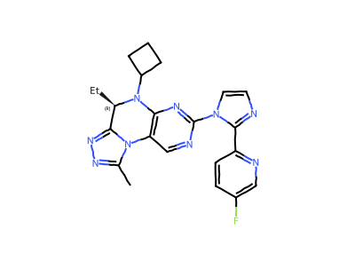 CC[C@@H]1c2nnc(C)n2-c2cnc(-n3ccnc3-c3ccc(F)cn3)nc2N1C1CCC1